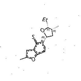 CC[C@H]1O[C@@H](n2ccc3oc(C)cc3c2=S)C[C@H]1C